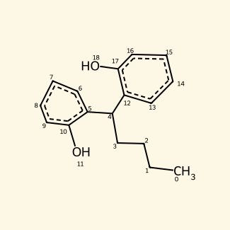 CCCCC(c1ccccc1O)c1ccccc1O